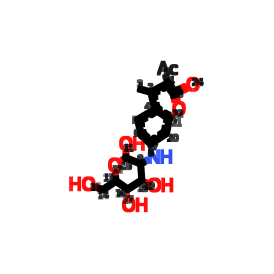 CC(=O)c1c(C)c2ccc(NC3C(O)OC(CO)[C@@H](O)[C@@H]3O)cc2oc1=O